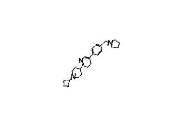 C1=C(c2ccc(CN3CCCC3)cc2)CCC(C2CCN(C3CCC3)CC2)=N1